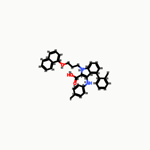 Cc1ccc(Nc2c(C(=O)O)n(CCCOc3cccc4ccccc34)c3cccc(-c4ccccc4C)c23)cc1